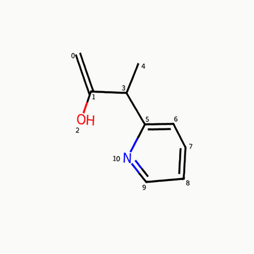 C=C(O)C(C)c1ccccn1